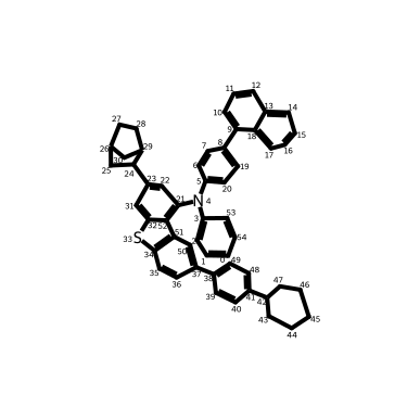 c1ccc(N(c2ccc(-c3cccc4ccccc34)cc2)c2cc(C3CC4CCC3C4)cc3sc4ccc(-c5ccc(C6CCCCC6)cc5)cc4c23)cc1